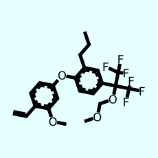 C=Cc1ccc(Oc2ccc(C(OCOC)(C(F)(F)F)C(F)(F)F)cc2CCC)cc1OC